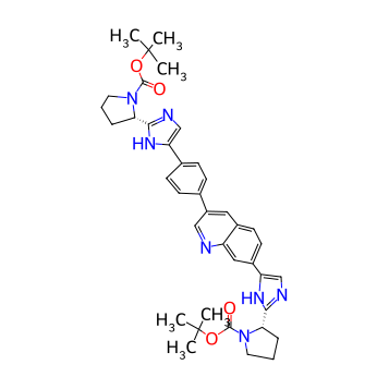 CC(C)(C)OC(=O)N1CCC[C@H]1c1ncc(-c2ccc(-c3cnc4cc(-c5cnc([C@@H]6CCCN6C(=O)OC(C)(C)C)[nH]5)ccc4c3)cc2)[nH]1